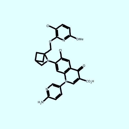 COc1ccc(Cl)c(OCC23CC(CN2c2cc4c(cc2Cl)c(=O)c(C(=O)O)cn4-c2ccc(N)nc2)C3)n1